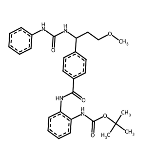 COCCC(NC(=O)Nc1ccccc1)c1ccc(C(=O)Nc2ccccc2NC(=O)OC(C)(C)C)cc1